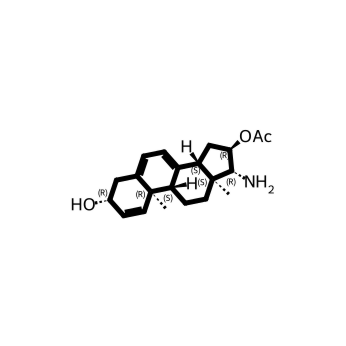 CC(=O)O[C@@H]1C[C@H]2C3=CC=C4C[C@@H](O)C=C[C@]4(C)[C@H]3CC[C@]2(C)[C@H]1N